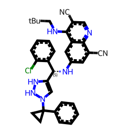 CC(C)(C)CNc1c(C#N)cnc2c(C#N)cc(N[C@H](C3=CN(C4(c5ccccc5)CC4)NN3)c3ccccc3Cl)cc12